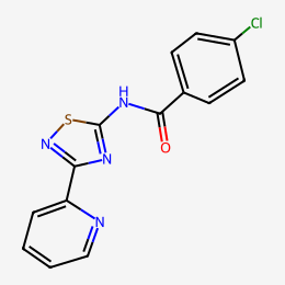 O=C(Nc1nc(-c2ccccn2)ns1)c1ccc(Cl)cc1